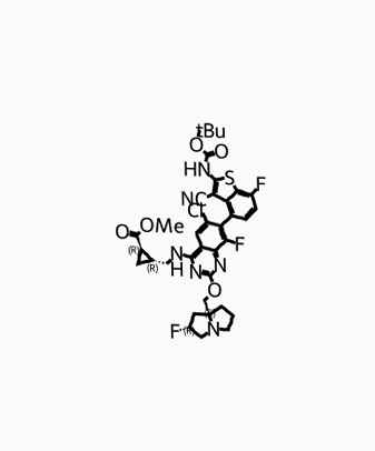 COC(=O)[C@@H]1C[C@H]1CNc1nc(OC[C@@]23CCCN2C[C@H](F)C3)nc2c(F)c(-c3ccc(F)c4sc(NC(=O)OC(C)(C)C)c(C#N)c34)c(Cl)cc12